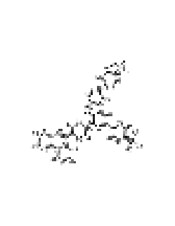 CC(C)(C)c1ccc(-c2ccc3oc4c(-c5ccc(-c6cc7ccccc7c7ccccc67)cc5)cc(-c5ccc(C(C)(C)C)cc5)cc4c3c2)cc1